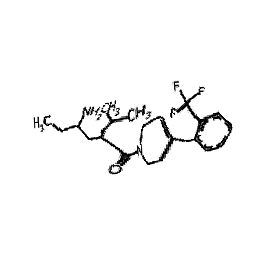 CCC(N)CC(C(=O)N1CC=C(c2ccccc2C(F)(F)F)CC1)C(C)C